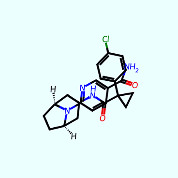 NC(=O)c1ccc(N2[C@@H]3CC[C@H]2C[C@@H](NC(=O)C2(c4ccc(Cl)cc4)CC2)C3)nc1